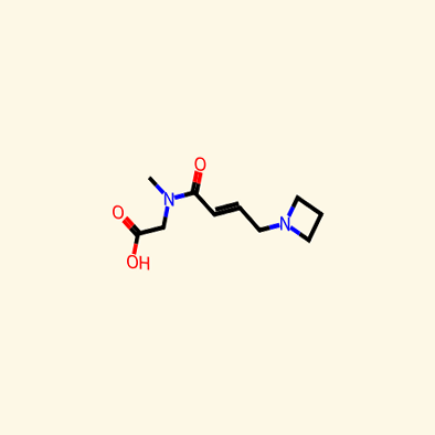 CN(CC(=O)O)C(=O)C=CCN1CCC1